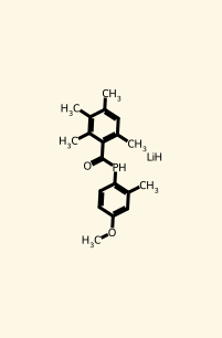 COc1ccc(PC(=O)c2c(C)cc(C)c(C)c2C)c(C)c1.[LiH]